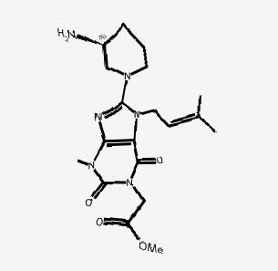 COC(=O)Cn1c(=O)c2c(nc(N3CCC[C@H](N)C3)n2CC=C(C)C)n(C)c1=O